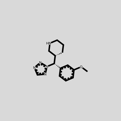 COc1cccc([C@@H]([C@H]2CCCNC2)n2ncnn2)c1